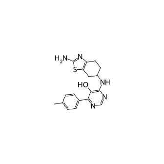 Cc1ccc(-c2ncnc(NC3CCc4nc(N)sc4C3)c2O)cc1